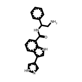 NCC(NC(=O)c1cccc2c(-c3cn[nH]c3)c[nH]c12)c1ccccc1